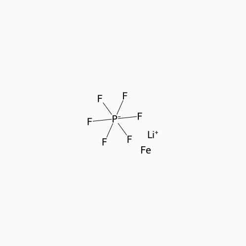 F[P-](F)(F)(F)(F)F.[Fe].[Li+]